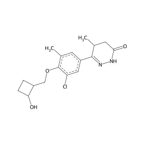 Cc1cc(C2=NNC(=O)CC2C)cc(Cl)c1OCC1CCC1O